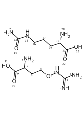 N=C(N)NOCCC(N)C(=O)O.NC(=O)NCCC[C@H](N)C(=O)O